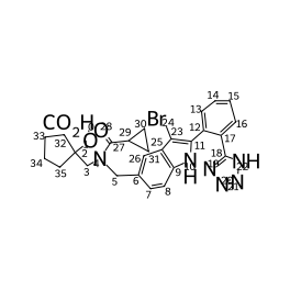 O=C(O)OC1(CN(Cc2ccc3[nH]c(-c4ccccc4-c4nnn[nH]4)c(Br)c3c2)C(=O)C2CC2)CCCC1